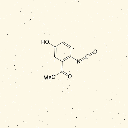 COC(=O)c1cc(O)ccc1N=C=O